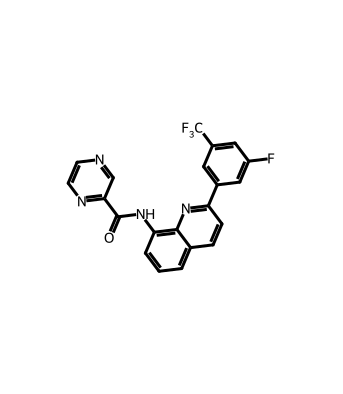 O=C(Nc1cccc2ccc(-c3cc(F)cc(C(F)(F)F)c3)nc12)c1cnccn1